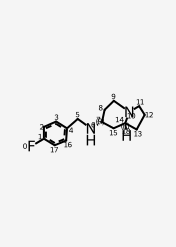 Fc1ccc(CN[C@@H]2CCN3CCC[C@@H]3C2)cc1